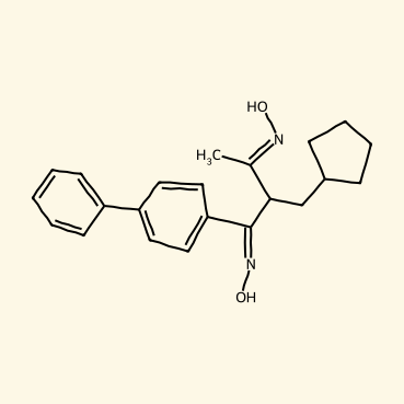 C/C(=N\O)C(CC1CCCC1)/C(=N/O)c1ccc(-c2ccccc2)cc1